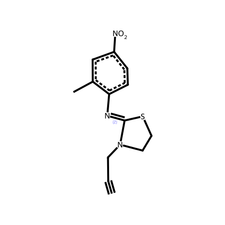 C#CCN1CCS/C1=N\c1ccc([N+](=O)[O-])cc1C